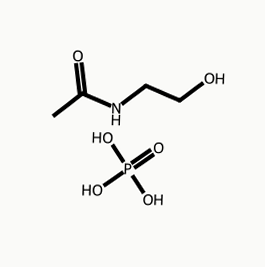 CC(=O)NCCO.O=P(O)(O)O